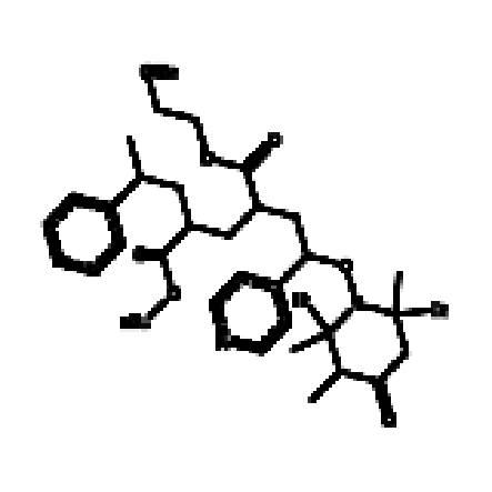 CCCCOC(=O)C(CC(CC(ON1C(C)(CC)CC(=O)C(C)C1(C)CC)c1ccncc1)C(=O)OCCOC)CC(C)c1ccccc1